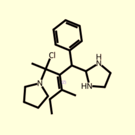 CC/C(C)=C(/C(c1ccccc1)C1NCCN1)C(C)(Cl)N1CCCC1